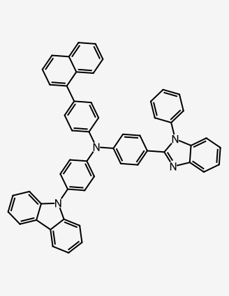 c1ccc(-n2c(-c3ccc(N(c4ccc(-c5cccc6ccccc56)cc4)c4ccc(-n5c6ccccc6c6ccccc65)cc4)cc3)nc3ccccc32)cc1